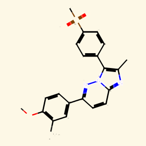 CCOc1ccc(-c2ccc3nc(C)c(-c4ccc(S(C)(=O)=O)cc4)n3n2)cc1OC